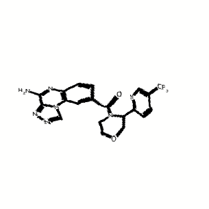 Nc1nc2ccc(C(=O)N3CCOCC3c3ccc(C(F)(F)F)cn3)cc2n2cnnc12